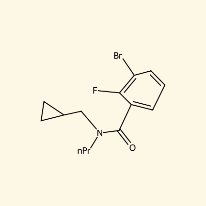 CCCN(CC1CC1)C(=O)c1cccc(Br)c1F